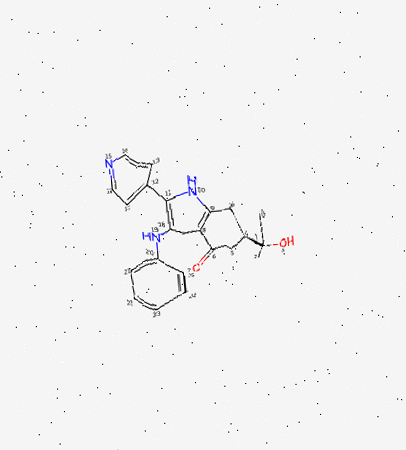 CC(C)(O)[C@H]1CC(=O)c2c([nH]c(-c3ccncc3)c2Nc2ccccc2)C1